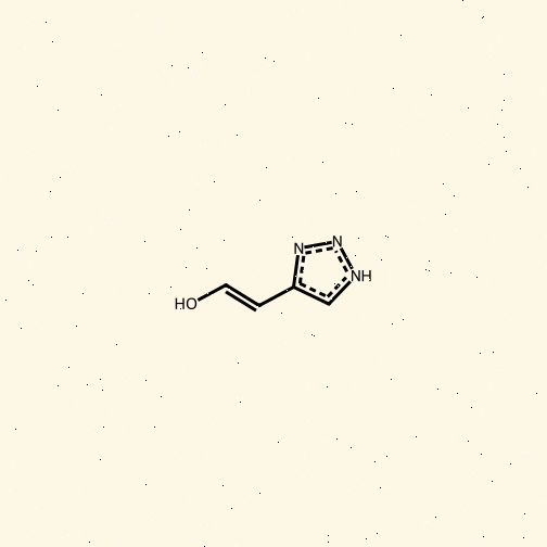 OC=Cc1c[nH]nn1